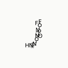 Cc1nc(-c2ccc(F)c(F)c2)ccc1C(=O)N(C)c1ccc(CN2CCN[C@@H](C)C2)cc1